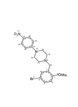 COc1ccc(Br)cc1CN1CCN(c2ccc([N+](=O)[O-])cc2)CC1